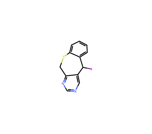 IC1c2ccccc2SCc2ncncc21